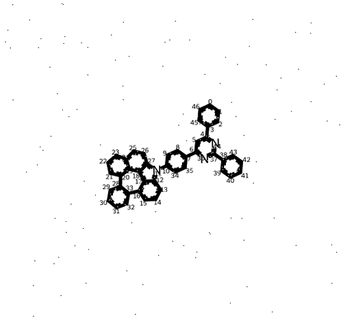 c1ccc(-c2cc(-c3ccc(-n4c5cccc6c5c5c7c(cccc7ccc54)-c4ccccc4-6)cc3)nc(-c3ccccc3)n2)cc1